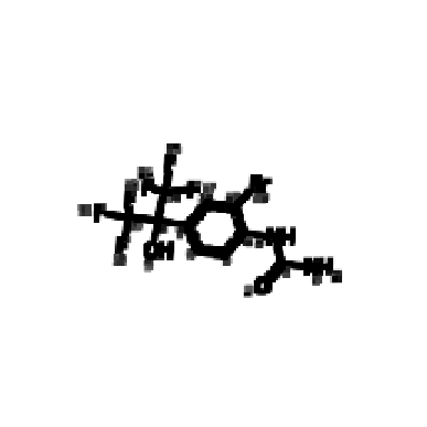 NC(=O)Nc1ccc(C(O)(C(F)(F)F)C(F)(F)F)cc1Br